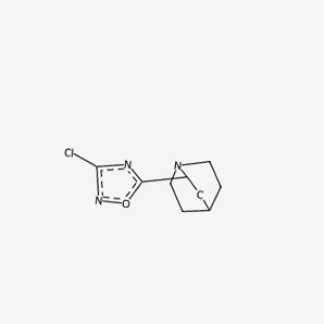 Clc1noc(C2CC3CCN2CC3)n1